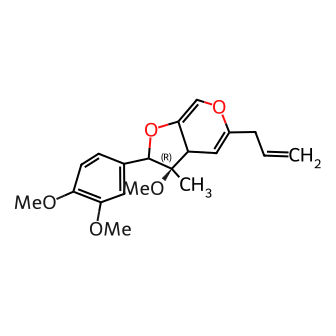 C=CCC1=CC2C(=CO1)OC(c1ccc(OC)c(OC)c1)[C@]2(C)OC